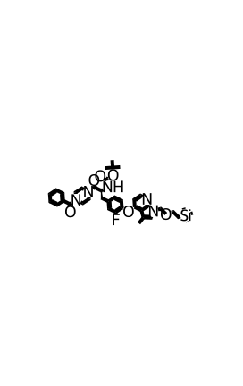 Cc1cn(COCC[Si](C)(C)C)c2nccc(Oc3ccc(C[C@H](NC(=O)OC(C)(C)C)C(=O)N4CCN(C(=O)c5ccccc5)CC4)cc3F)c12